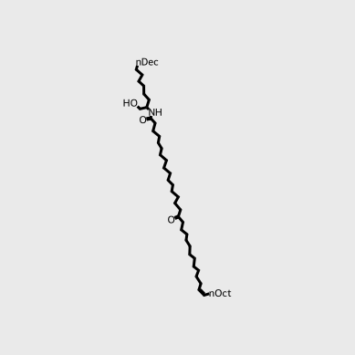 CCCCCCCC/C=C\CCCCCCCCCCCC(=O)CCCCCCCCCCCCCCCC(=O)NC(CO)CCCCCCCCCCCCCCCC